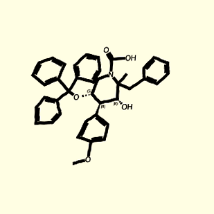 COc1ccc([C@@H]2[C@@H](O)C(C)(Cc3ccccc3)N(C(=O)O)C[C@H]2OC(c2ccccc2)(c2ccccc2)c2ccccc2)cc1